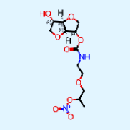 CC(COCCNC(=O)O[C@@H]1CO[C@H]2[C@@H]1OC[C@H]2O)O[N+](=O)[O-]